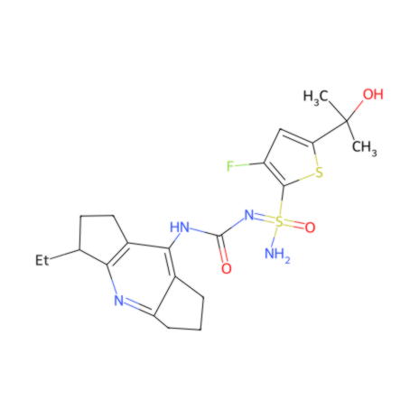 CCC1CCc2c1nc1c(c2NC(=O)N=S(N)(=O)c2sc(C(C)(C)O)cc2F)CCC1